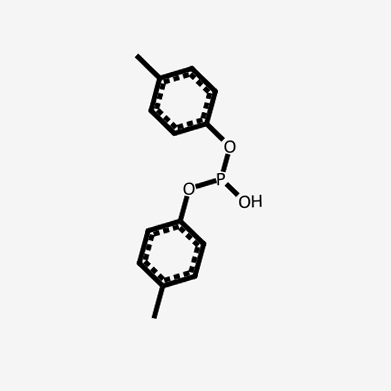 Cc1ccc(OP(O)Oc2ccc(C)cc2)cc1